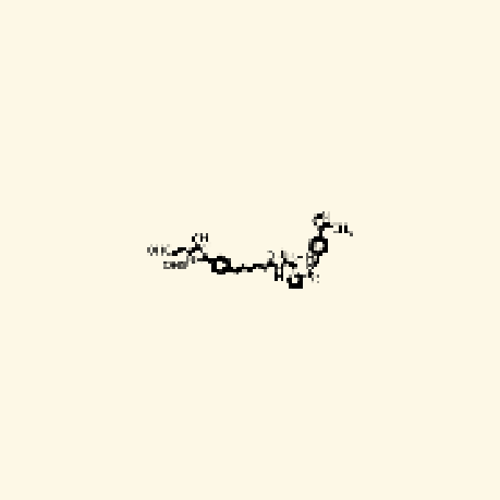 Cc1ncsc1-c1ccc(CNC(=O)[C@@H]2CCCN2C(=O)[C@@H](NC(=O)CCC/C=C/c2ccc(CO[C@H](C)[C@H](CCC=O)NC=O)cc2)C(C)(C)C)cc1